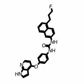 O=C(Nc1ccc(Oc2ccnc3[nH]ccc23)cc1)Nc1ccc2c(CCCF)cccc2c1